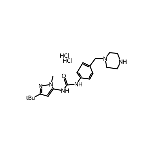 Cl.Cl.Cn1nc(C(C)(C)C)cc1NC(=O)Nc1ccc(CN2CCNCC2)cc1